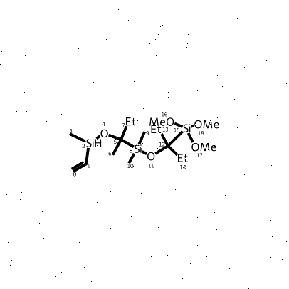 C=C[SiH](C)OC(C)(CC)[Si](C)(C)OC(CC)(CC)[Si](OC)(OC)OC